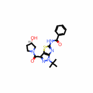 CC(C)(C)n1nc(C(=O)N2CC[C@H](O)C2)c2sc(NC(=O)c3ccccc3)nc21